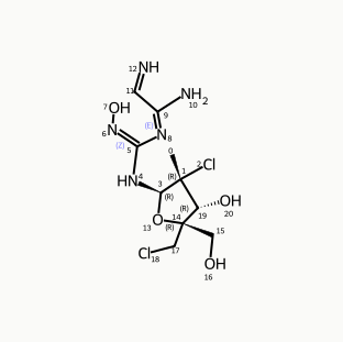 C[C@]1(Cl)[C@H](NC(=N/O)/N=C(/N)C=N)O[C@@](CO)(CCl)[C@H]1O